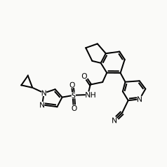 N#Cc1cc(-c2ccc3c(c2CC(=O)NS(=O)(=O)c2cnn(C4CC4)c2)CCC3)ccn1